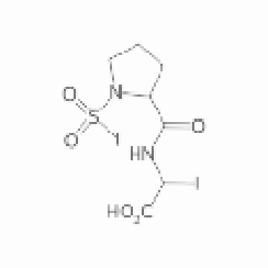 O=C(O)C(I)NC(=O)C1CCCN1S(=O)(=O)I